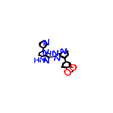 c1cncc(-c2ccc3[nH]nc(-c4nc5c(-c6ccc7c(c6)OCO7)ccnc5[nH]4)c3n2)c1